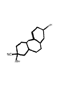 CCCCC1(C#N)CCC2C(CCC3CC(CCC)CCC32)C1